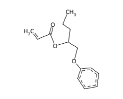 C=CC(=O)OC(CCC)COc1ccccc1